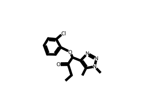 CCC(=O)C(Oc1ccccc1Cl)c1nnn(C)c1C